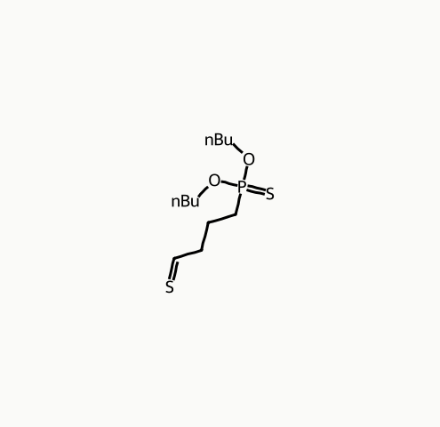 CCCCOP(=S)(CCCC=S)OCCCC